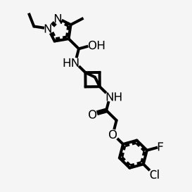 CCn1cc(C(O)NC23CC(NC(=O)COc4ccc(Cl)c(F)c4)(C2)C3)c(C)n1